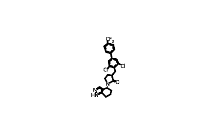 O=C1C(Cc2c(Cl)cc(-c3ccc(C(F)(F)F)cc3)cc2Cl)CCN1[C@@H]1CCCc2[nH]ncc21